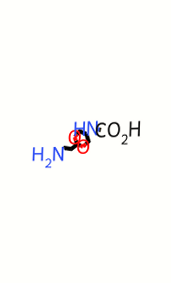 NCCC1OCC(NC(=O)O)CO1